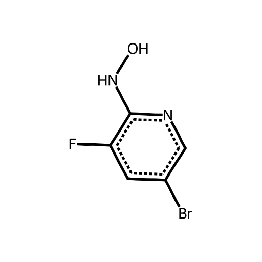 ONc1ncc(Br)cc1F